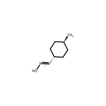 C[C@H]1CC[C@H](/C=N/O)CC1